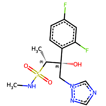 CNS(=O)(=O)[C@H](C)[C@](O)(Cn1cncn1)c1ccc(F)cc1F